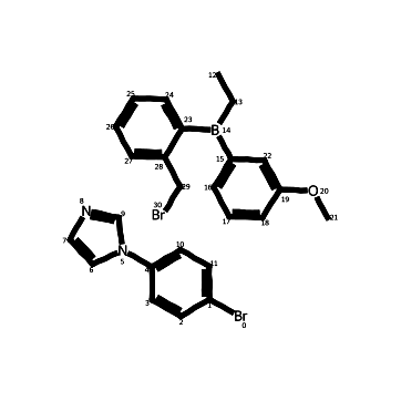 Brc1ccc(-n2ccnc2)cc1.CCB(c1cccc(OC)c1)c1ccccc1CBr